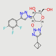 CO[C@@H]1[C@@H](n2cc(-c3ccc(F)c(F)c3F)nn2)[C@@H](O)[C@@H](CO)O[C@@H]1Cn1cc(C23CC(C2)C3)nn1